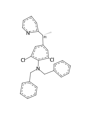 C[C@H](c1cc(Cl)c(N(Cc2ccccc2)Cc2ccccc2)c(Cl)c1)c1ccccn1